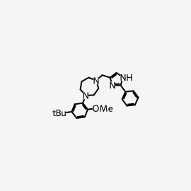 COc1ccc(C(C)(C)C)cc1N1CCCN(Cc2c[nH]c(-c3ccccc3)n2)CC1